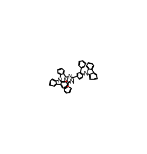 c1ccc(-c2nc(-c3ccc(-n4c5ccccc5c5ccccc54)c(-c4ccccc4)c3)nc(-c3ccccc3-n3c4ccccc4c4ccccc43)n2)cc1